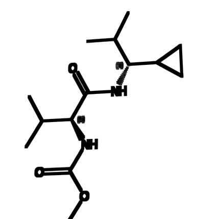 COC(=O)N[C@H](C(=O)N[C@H](C(C)C)C1CC1)C(C)C